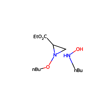 CCCCNO.CCCCON1CC1C(=O)OCC